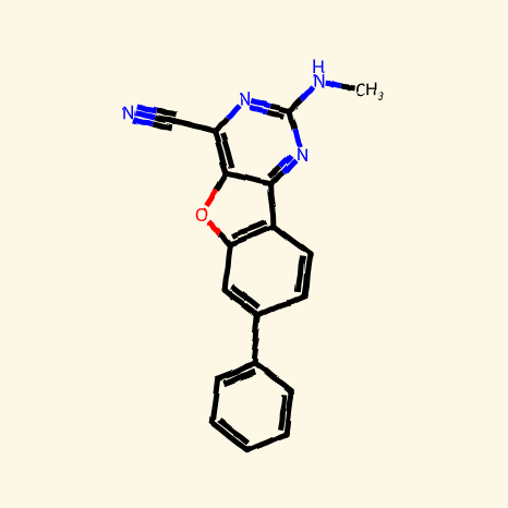 CNc1nc(C#N)c2oc3cc(-c4ccccc4)ccc3c2n1